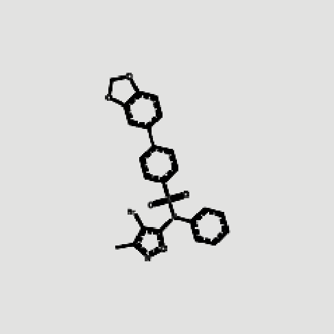 Cc1noc(N(c2ccccc2)S(=O)(=O)c2ccc(-c3ccc4c(c3)OCO4)cc2)c1Br